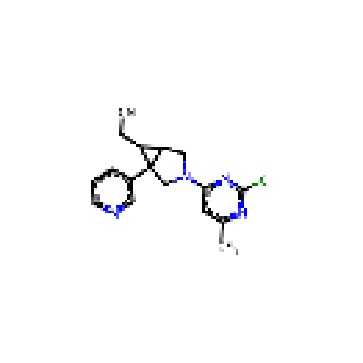 N#CCC1C2CN(c3cc(C(F)(F)F)nc(Cl)n3)CC12c1cccnc1